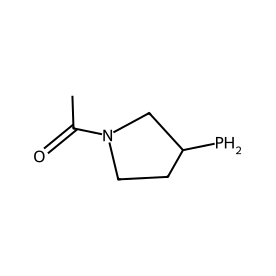 CC(=O)N1CCC(P)C1